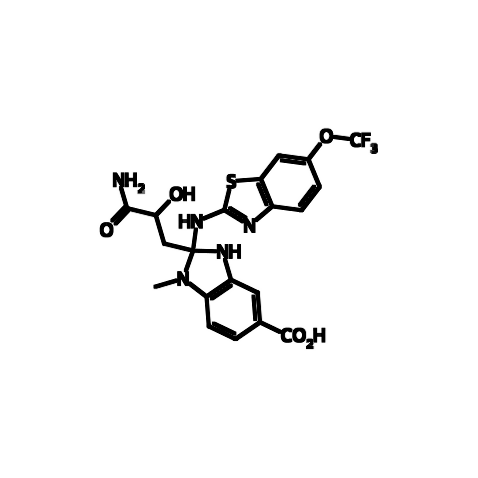 CN1c2ccc(C(=O)O)cc2NC1(CC(O)C(N)=O)Nc1nc2ccc(OC(F)(F)F)cc2s1